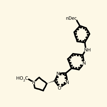 CCCCCCCCCCc1ccc(Nc2ccc(-c3noc([C@@H]4CCN(C(=O)O)C4)n3)cn2)cc1